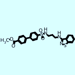 COC(=O)c1ccc(-c2ccc(S(=O)(=O)NCCCNc3nsc4ccccc34)cc2)cc1